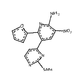 CSc1nccc(-c2cc([N+](=O)[O-])c(N)nc2-c2ccco2)n1